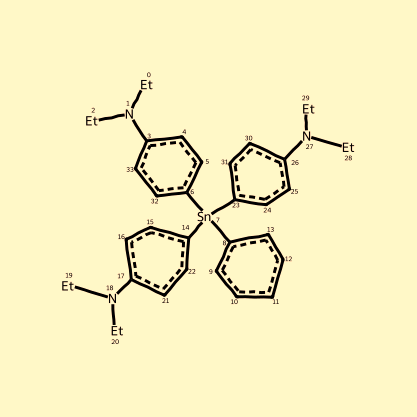 CCN(CC)c1cc[c]([Sn]([c]2ccccc2)([c]2ccc(N(CC)CC)cc2)[c]2ccc(N(CC)CC)cc2)cc1